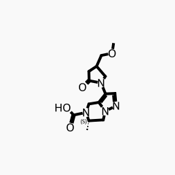 COCC1CC(=O)N(c2cnn3c2CN(C(=O)O)[C@@H](C)C3)C1